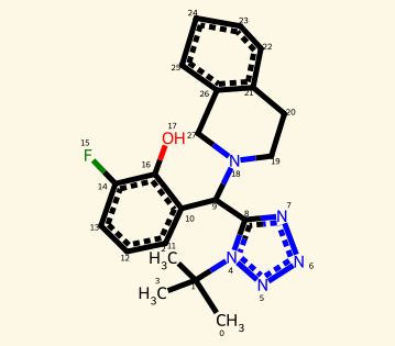 CC(C)(C)n1nnnc1C(c1cccc(F)c1O)N1CCc2ccccc2C1